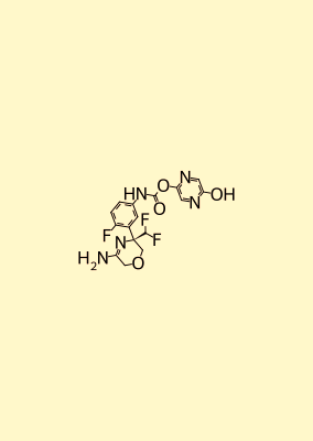 NC1=N[C@@](c2cc(NC(=O)Oc3cnc(O)cn3)ccc2F)(C(F)F)COC1